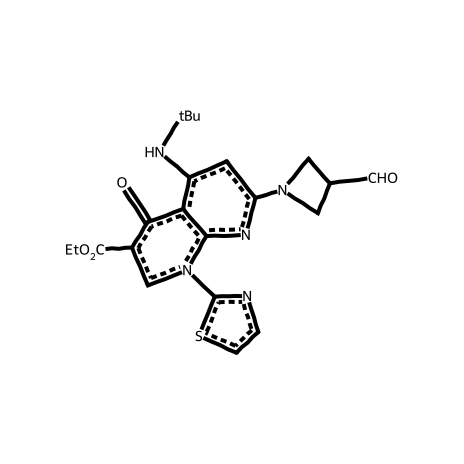 CCOC(=O)c1cn(-c2nccs2)c2nc(N3CC(C=O)C3)cc(NC(C)(C)C)c2c1=O